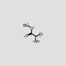 CCC[C@H](CC)C(=O)OC(C)(C)C